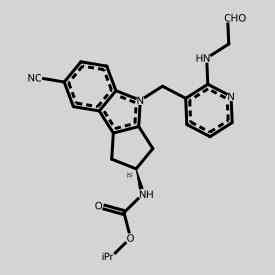 CC(C)OC(=O)N[C@H]1Cc2c(n(Cc3cccnc3NCC=O)c3ccc(C#N)cc23)C1